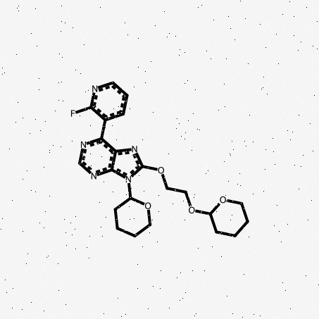 Fc1ncccc1-c1ncnc2c1nc(OCCOC1CCCCO1)n2C1CCCCO1